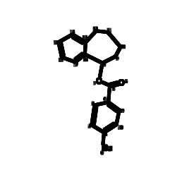 CCC(C)c1ccc(C(=O)OC2CCCCc3ccccc32)cc1